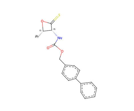 CC(C)[C@@H]1OC(=S)[C@@H]1NC(=O)OCc1ccc(-c2ccccc2)cc1